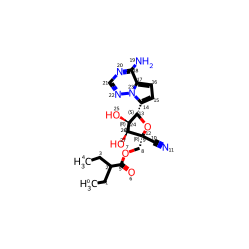 CCC(CC)C(=O)OC[C@@]1(C#N)O[C@@H](c2ccc3c(N)ncnn23)[C@H](O)[C@@H]1O